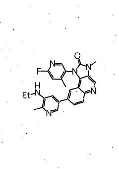 CCNc1cc(-c2ccc3ncc4c(c3c2)n(-c2cnc(F)cc2C)c(=O)n4C)cnc1C